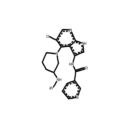 CC(C)NC1CCCN(c2c(Cl)cnc3[nH]cc(NC(=O)c4cccnc4)c23)C1